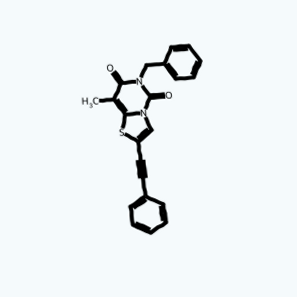 Cc1c(=O)n(Cc2ccccc2)c(=O)n2cc(C#Cc3ccccc3)sc12